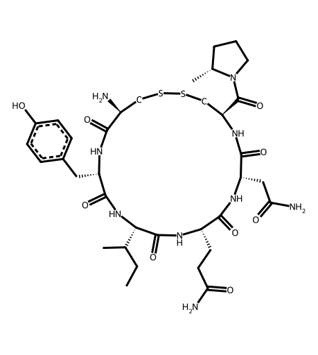 CCC(C)[C@@H]1NC(=O)[C@H](Cc2ccc(O)cc2)NC(=O)[C@@H](N)CSSC[C@@H](C(=O)N2CCC[C@H]2C)NC(=O)[C@H](CC(N)=O)NC(=O)[C@H](CCC(N)=O)NC1=O